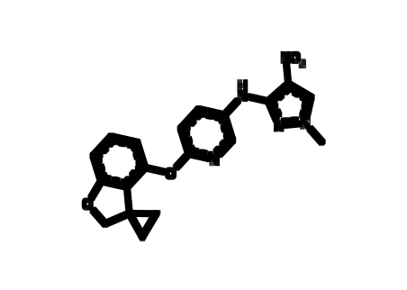 Cn1cc([N+](=O)[O-])c(Nc2ccc(Oc3cccc4c3C3(CC3)CO4)nc2)n1